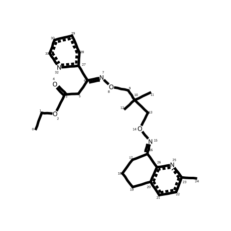 CCOC(=O)C/C(=N\OCC(C)(C)CO/N=C1\CCCc2ccc(C)nc21)c1ccccn1